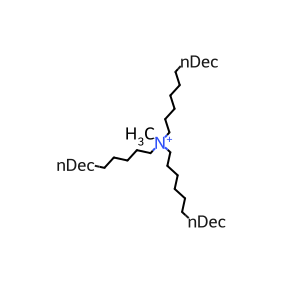 CCCCCCCCCCCCCCCC[N+](C)(CCCCCCCCCCCCCCC)CCCCCCCCCCCCCCCC